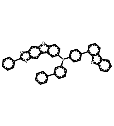 c1ccc(-c2cccc(N(c3ccc(-c4cccc5c4oc4ccccc45)cc3)c3ccc4oc5cc6oc(-c7ccccc7)nc6cc5c4c3)c2)cc1